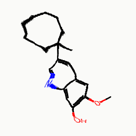 COc1cc2cc(C3(C)CCCCCCCC3)cnc2cc1O